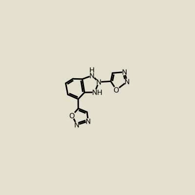 c1cc2c(c(-c3cnno3)c1)NN(c1cnno1)N2